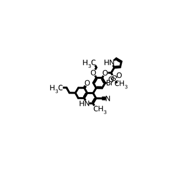 CCCC1CC(=O)C2=C(C1)NC(C)=C(C#N)C2c1cc(Br)c(OC(c2ccc[nH]2)S(C)(=O)=O)c(OCC)c1